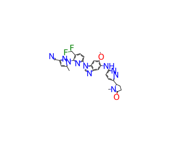 COc1cc2c(cc1Nc1ccc(C3CCC(=O)N3C)nn1)ncn2-c1ccc(C(F)F)c(-n2nc(C#N)cc2C)n1